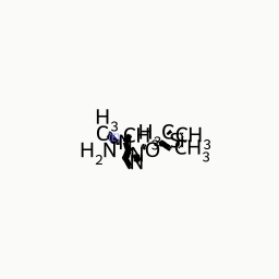 C/C=C(\N)N(C)c1ccnn1COCC[Si](C)(C)C